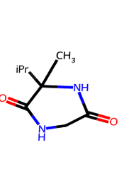 CC(C)C1(C)NC(=O)CNC1=O